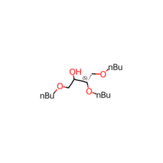 CCCCOCC(O)[C@H](COCCCC)OCCCC